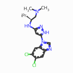 CC(C)[C@@H](CN(C)C)Nc1cc(-n2cnc3cc(Cl)c(Cl)cc32)[nH]n1